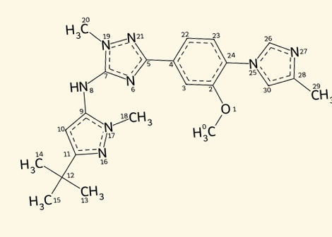 COc1cc(-c2nc(Nc3cc(C(C)(C)C)nn3C)n(C)n2)ccc1-n1cnc(C)c1